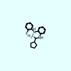 CC(Nc1ccccc1Nc1ccccc1F)C1CCCC1